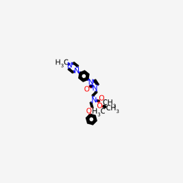 CN1CCN(c2ccc(-n3ccn(CCN(CCOc4ccccc4)C(=O)OC(C)(C)C)c3=O)cc2)CC1